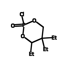 CCC1OP(=O)(Cl)OCC1(CC)CC